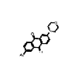 CC(=O)c1ccc2c(c1)C(=O)c1ccc(N3CCOCC3)cc1C2=O